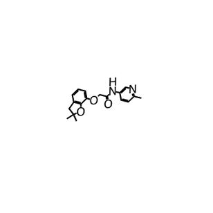 Cc1ccc(NC(=O)COc2cccc3c2OC(C)(C)C3)cn1